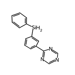 c1ccc([SiH2]c2cccc(-c3ncncn3)c2)cc1